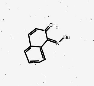 C=C1C=Cc2ccccc2/C1=N/C(C)CC